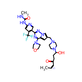 C/C=C\C(=O)CCC(O)N1CCN(Cc2cc3c(N4CCOCC4)nc(-c4cnc(NC(=O)NC)cc4C(F)(F)F)nn3c2)CC1